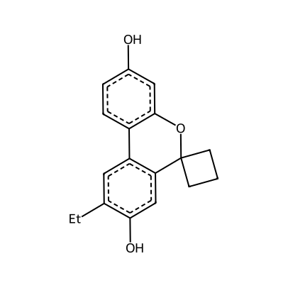 CCc1cc2c(cc1O)C1(CCC1)Oc1cc(O)ccc1-2